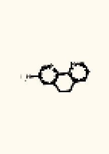 Nc1cnc2c(c1)CCc1cccnc1-2